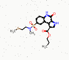 CCCOC(=O)c1c[nH]c2c(=O)[nH]c3ccc(S(=O)(=O)N(C)CCSC)cc3c12